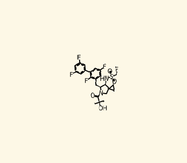 CC(C)(O)C(=O)N1CC2(CC2)[C@H](NS(=O)(=O)CF)[C@@H]1Cc1cc(F)cc(-c2cc(F)cc(F)c2)c1F